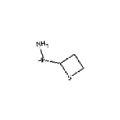 NBC1CCS1